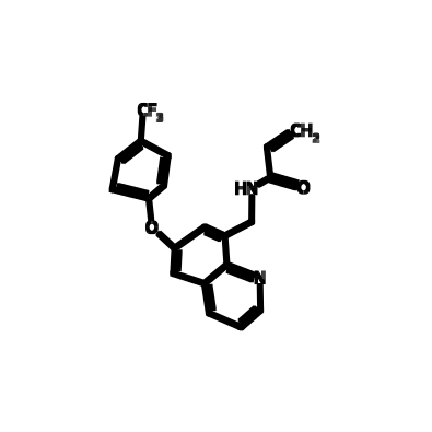 C=CC(=O)NCc1cc(Oc2ccc(C(F)(F)F)cc2)cc2cccnc12